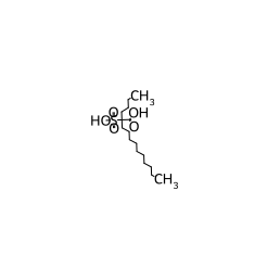 CCCCCCCCCCC(CCCC)(C(=O)O)S(=O)(=O)O